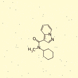 CN(C(=O)c1cnn2ccccc12)C1CCCCC1